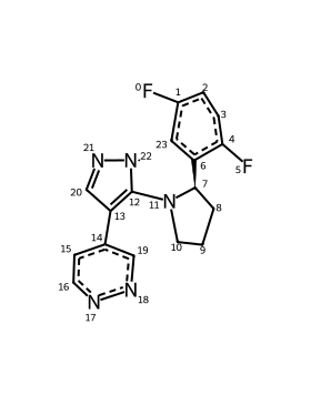 Fc1ccc(F)c([C@H]2CCCN2C2=C(c3ccnnc3)C=N[N]2)c1